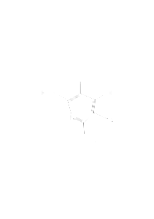 O=C(O)c1nc(C(=O)O)c(Br)c(O)c1Br